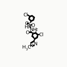 Cn1cnc(-c2cc(Cl)c(F)c(C(=O)NNS(=O)(=O)c3cccc(Cl)c3)c2)c1